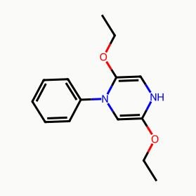 CCOC1=CN(c2ccccc2)C(OCC)=CN1